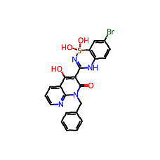 O=c1c(C2=NS(O)(O)c3cc(Br)ccc3N2)c(O)c2cccnc2n1Cc1ccccc1